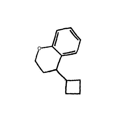 c1ccc2c(c1)OCCC2[C]1CCC1